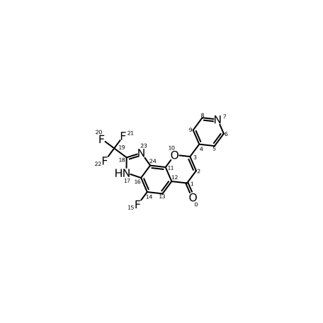 O=c1cc(-c2ccncc2)oc2c1cc(F)c1[nH]c(C(F)(F)F)nc12